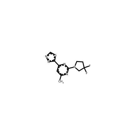 Cc1cc(-c2nncs2)nc(N2CCC(F)(F)C2)n1